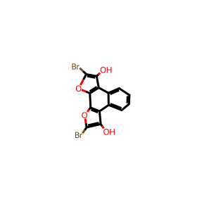 Oc1c(Br)oc2c3oc(Br)c(O)c3c3ccccc3c12